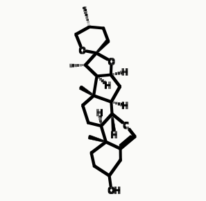 C[C@@H]1CC[C@@]2(OC1)O[C@H]1C[C@H]3[C@@H]4CC=C5CC(O)CC[C@]5(C)[C@H]4CC[C@]3(C)[C@H]1[C@@H]2C